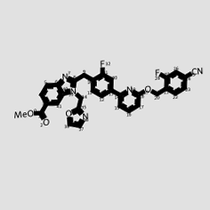 COC(=O)c1ccc2nc(Cc3ccc(-c4cccc(OCc5ccc(C#N)cc5F)n4)cc3F)n(Cc3ncco3)c2c1